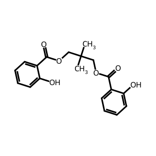 CC(C)(COC(=O)c1ccccc1O)COC(=O)c1ccccc1O